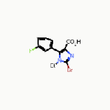 CCn1c(Br)nc(C(=O)O)c1-c1cccc(F)c1